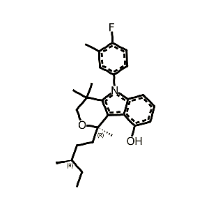 CC[C@@H](C)CC[C@@]1(C)OCC(C)(C)c2c1c1c(O)cccc1n2-c1ccc(F)c(C)c1